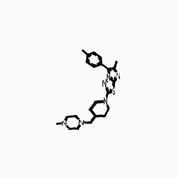 Cc1ccc(-c2c(C)nc3sc(N4CCC(CN5CCN(C)CC5)CC4)nn23)cc1